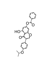 CC(C)Oc1ccc(-c2coc3cc(OC(=O)c4ccccc4)cc(O)c3c2=O)cc1